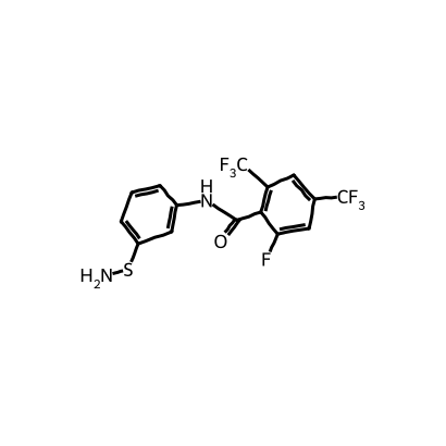 NSc1cccc(NC(=O)c2c(F)cc(C(F)(F)F)cc2C(F)(F)F)c1